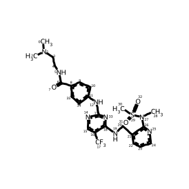 CN(C)CCNC(=O)c1ccc(Nc2ncc(C(F)(F)F)c(NCc3cccnc3N(C)S(C)(=O)=O)n2)cc1